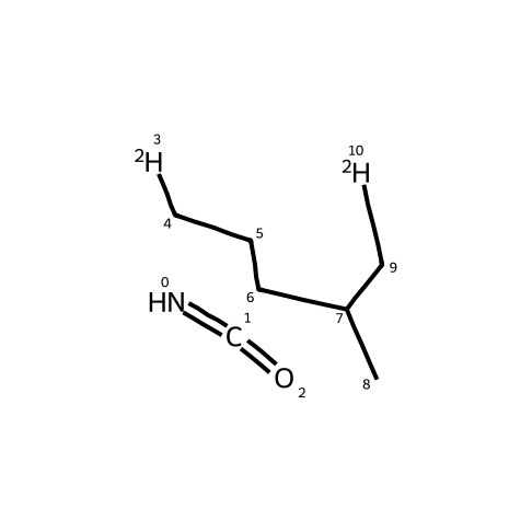 N=C=O.[2H]CCCC(C)C[2H]